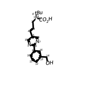 CC(C)(C)N(CC=Cc1cnc(-c2cccc(CO)c2)nc1)C(=O)O